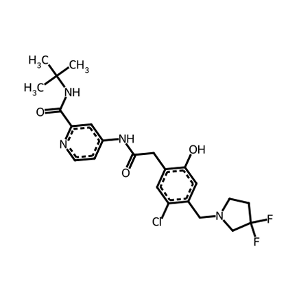 CC(C)(C)NC(=O)c1cc(NC(=O)Cc2cc(Cl)c(CN3CCC(F)(F)C3)cc2O)ccn1